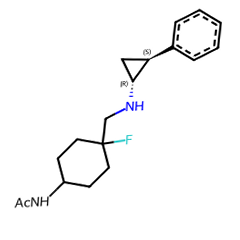 CC(=O)NC1CCC(F)(CN[C@@H]2C[C@H]2c2ccccc2)CC1